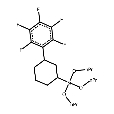 CCCO[Si](OCCC)(OCCC)C1CCCC(c2c(F)c(F)c(F)c(F)c2F)C1